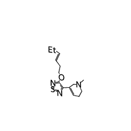 CCC=CCCOc1nsnc1C1=CCCN(C)C1